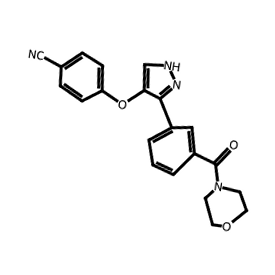 N#Cc1ccc(Oc2c[nH]nc2-c2cccc(C(=O)N3CCOCC3)c2)cc1